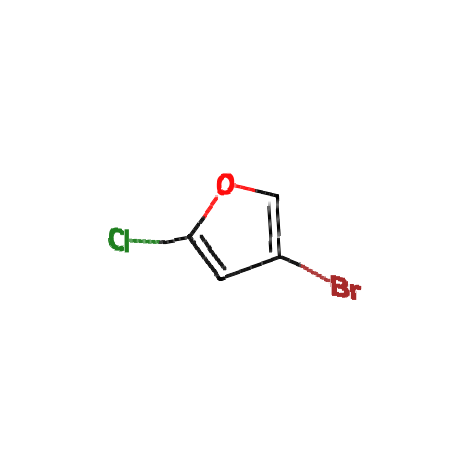 Clc1cc(Br)co1